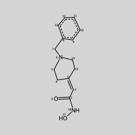 O=C(C=C1CCN(Cc2ccccc2)CC1)NO